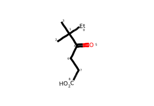 CCC(C)(C)C(=O)CCC(=O)O